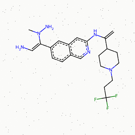 C=C(Nc1cc2cc(/C(=C/N)N(C)N)ccc2cn1)C1CCN(CCC(F)(F)F)CC1